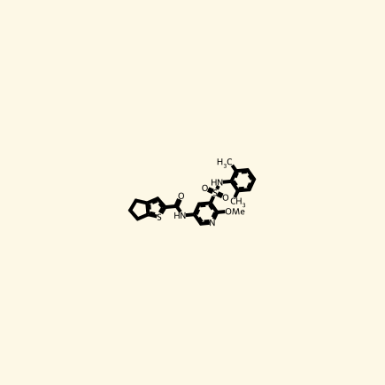 COc1ncc(NC(=O)c2cc3c(s2)CCC3)cc1S(=O)(=O)Nc1c(C)cccc1C